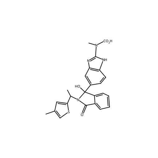 Cc1csc(C(C)N2C(=O)c3ccccc3C2(O)c2ccc3[nH]c(N(C)C(=O)O)nc3c2)c1